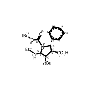 CCN[C@@H]1[C@H](C(C)(C)C)[C@H](C(=O)O)[C@@H](c2ccccc2)N1C(=O)OC(C)(C)C